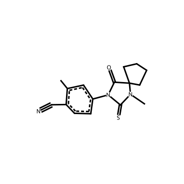 Cc1cc(N2C(=O)C3(CCCC3)N(C)C2=S)ccc1C#N